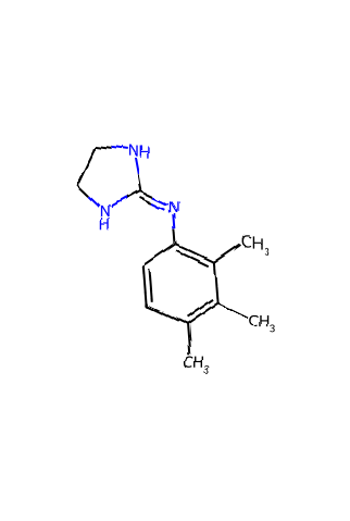 Cc1ccc(N=C2NCCN2)c(C)c1C